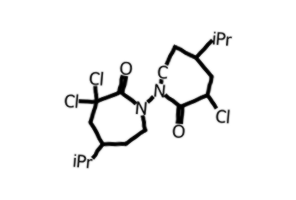 CC(C)C1CCN(N2CCC(C(C)C)CC(Cl)(Cl)C2=O)C(=O)C(Cl)C1